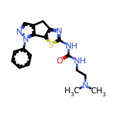 CN(C)CCNC(=O)Nc1nc2c(s1)-c1c(cnn1-c1ccccc1)C2